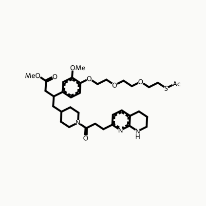 COC(=O)CC(CC1CCN(C(=O)CCc2ccc3c(n2)NCCC3)CC1)c1ccc(OCCOCCOCCSC(C)=O)c(OC)c1